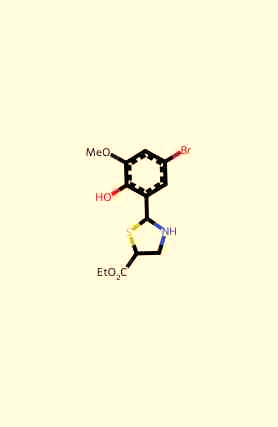 CCOC(=O)C1CNC(c2cc(Br)cc(OC)c2O)S1